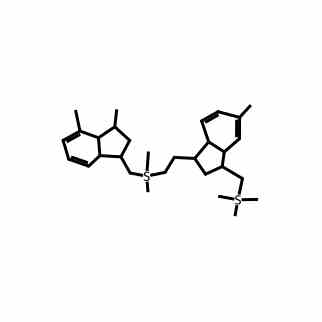 CC1=CC2C(CS(C)(C)C)CC(CCS(C)(C)CC3CC(C)C4C(C)=CC=CC34)C2C=C1